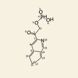 O=C(CO[PH](=O)O)c1cc2ccccc2cn1